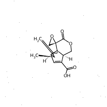 C=C1C[C@@]23[C@H](C=C(C(=O)O)[C@@H]2COC(=O)[C@]32CO2)[C@@H]1C